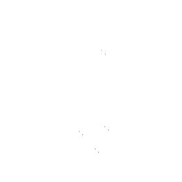 c1ccc(-c2nc(-c3ccccc3)nc(-c3ccc(-c4nc5c6ccccc6ccc5c5c4sc4ccccc45)cc3)n2)cc1